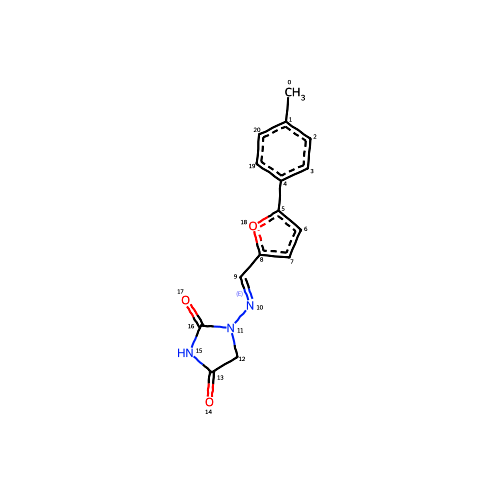 Cc1ccc(-c2ccc(/C=N/N3CC(=O)NC3=O)o2)cc1